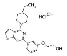 CCN1CCN(c2nc(-c3cccc(OCCO)c3)cc3sccc23)CC1.Cl.Cl